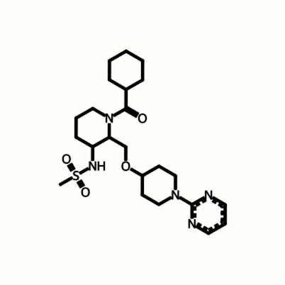 CS(=O)(=O)NC1CCCN(C(=O)C2CCCCC2)C1COC1CCN(c2ncccn2)CC1